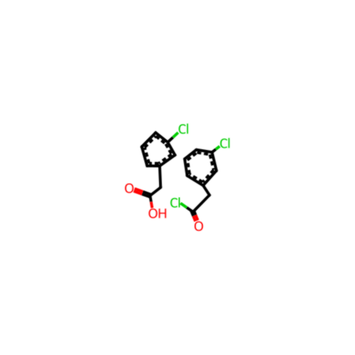 O=C(Cl)Cc1cccc(Cl)c1.O=C(O)Cc1cccc(Cl)c1